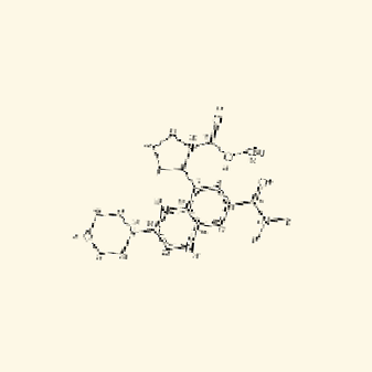 CN(C)C(=O)c1cc(C2CCCN2C(=O)OC(C)(C)C)c2nc(N3CCOCC3)cnc2c1